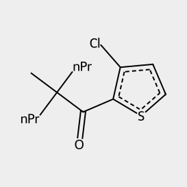 CCCC(C)(CCC)C(=O)c1sccc1Cl